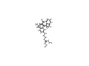 CCCN(CCC)CCCCc1ccc(OC)c(N(C(N)=NC)c2occ3ccccc23)c1